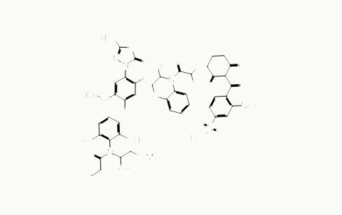 CC(C)Oc1cc(-n2nc(C(C)(C)C)oc2=O)c(Cl)cc1Cl.CC1COc2ccccc2N1C(=O)C(Cl)Cl.CCc1cccc(C)c1N(C(=O)CCl)C(C)COC.CS(=O)(=O)c1ccc(C(=O)C2C(=O)CCCC2=O)c([N+](=O)[O-])c1